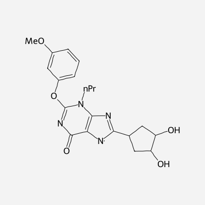 CCCn1c(Oc2cccc(OC)c2)nc(=O)c2c1N=C(C1CC(O)C(O)C1)[N]2